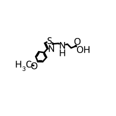 COc1ccc(-c2csc(CNCCC(=O)O)n2)cc1